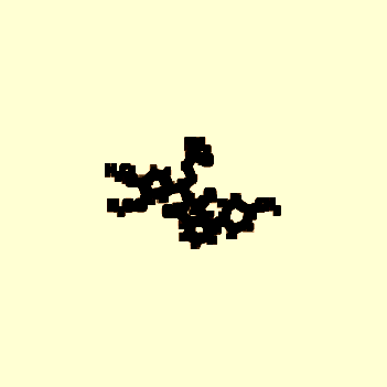 COc1ccc(C(CCC(N)=O)N2C(=O)c3cccc(N4CCN(C)CC4)c3C2=O)cc1OC